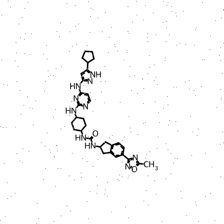 Cc1nc(-c2ccc3c(c2)CC(NC(=O)NC2CCC(Nc4nccc(Nc5cc(C6CCCC6)[nH]n5)n4)CC2)C3)no1